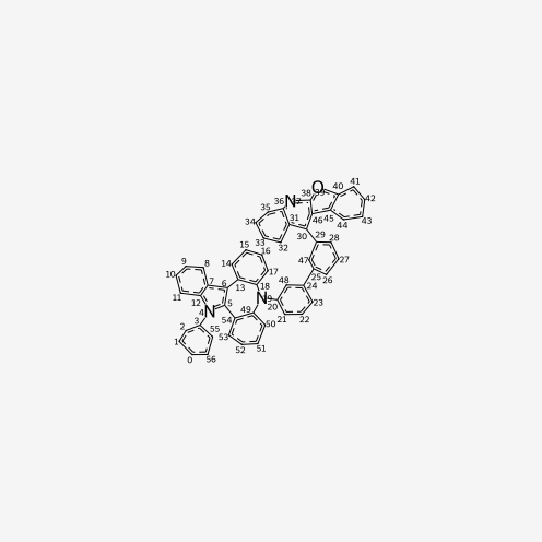 c1ccc(-n2c3c(c4ccccc42)-c2ccccc2N(c2cccc(-c4cccc(-c5c6ccccc6nc6oc7ccccc7c56)c4)c2)c2ccccc2-3)cc1